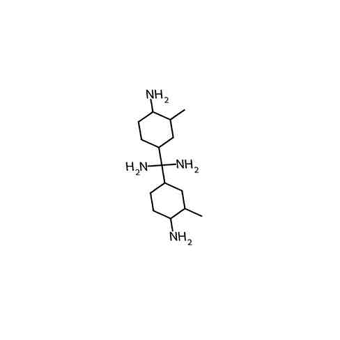 CC1CC(C(N)(N)C2CCC(N)C(C)C2)CCC1N